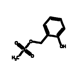 CS(=O)(=O)OCc1ccccc1O